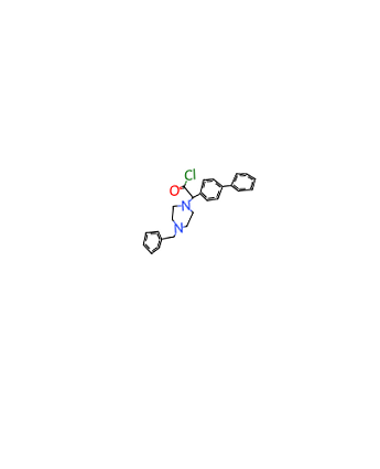 O=C(Cl)C(c1ccc(-c2ccccc2)cc1)N1CCN(Cc2ccccc2)CC1